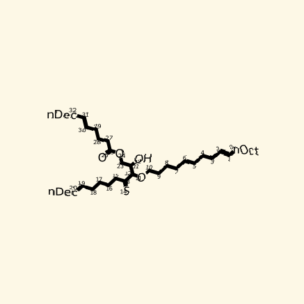 CCCCCCCCC=CCCCCCCCCOC(C(=S)CCCCCCCCCCCCCCC)C(O)COC(=O)CCCCCCCCCCCCCCC